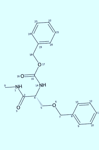 CNC(=O)[C@@H](COCc1ccccc1)NC(=O)OCc1ccccc1